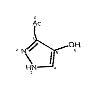 CC(=O)c1n[nH]cc1O